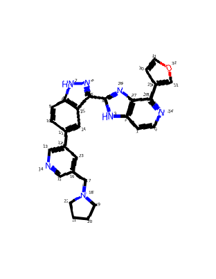 c1cc2[nH]c(-c3n[nH]c4ccc(-c5cncc(CN6CCCC6)c5)cc34)nc2c(-c2ccoc2)n1